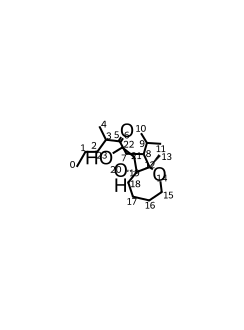 CCCC(C)C(=O)CC(C(C)C)[C@]1(C)OCCCC[C@@]1(O)CCO